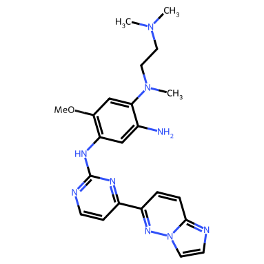 COc1cc(N(C)CCN(C)C)c(N)cc1Nc1nccc(-c2ccc3nccn3n2)n1